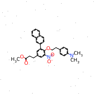 COC(=O)CCc1cc(-c2ccc3ccccc3c2)c(OCCc2ccc(N(C)C)cc2)c([N+](=O)[O-])c1